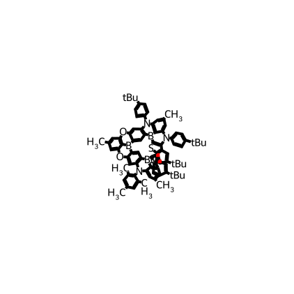 Cc1cc(C)c(N2c3cc4c(cc3B3c5sc6ccc(C(C)(C)C)cc6c5Oc5cc(C)cc2c53)B2c3cc5c(cc3Oc3cc(C)cc(c32)O4)N(c2ccc(C(C)(C)C)cc2)c2cc(C)cc3c2B5c2sc4ccc(C(C)(C)C)cc4c2N3c2ccc(C(C)(C)C)cc2)c(C)c1